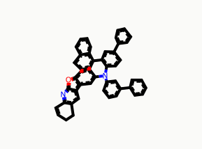 C1=Cc2nc3oc4ccc(N(c5cccc(-c6ccccc6)c5)c5ccc(-c6ccccc6)cc5-c5cccc6ccccc56)cc4c3cc2CC1